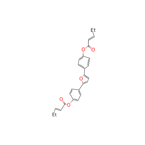 CC/C=C/C(=O)Oc1ccc(-c2ccc(-c3ccc(OC(=O)/C=C/CC)cc3)o2)cc1